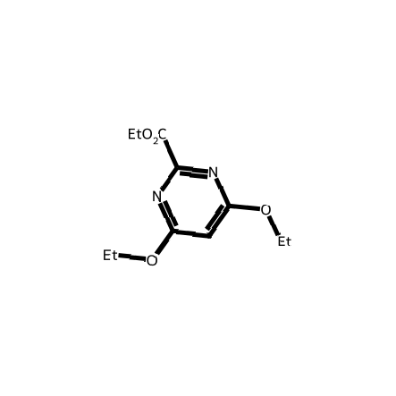 CCOC(=O)c1nc(OCC)cc(OCC)n1